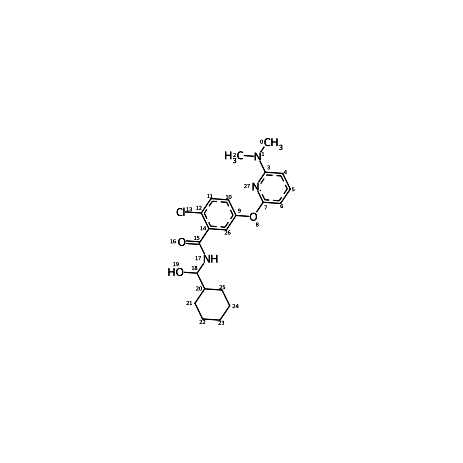 CN(C)c1cccc(Oc2ccc(Cl)c(C(=O)NC(O)C3CCCCC3)c2)n1